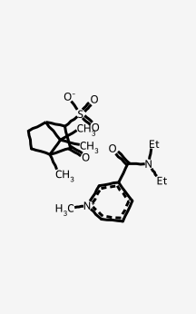 CC12CCC(C(S(=O)(=O)[O-])C1=O)C2(C)C.CCN(CC)C(=O)c1ccc[n+](C)c1